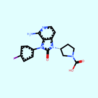 Nc1nccc2c1n(-c1ccc(I)cc1)c(=O)n2[C@@H]1CCN(C(=O)O)C1